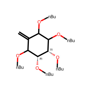 C=C1C(OCCCC)C(OCCCC)[C@H](OCCCC)[C@H](OCCCC)C1OCCCC